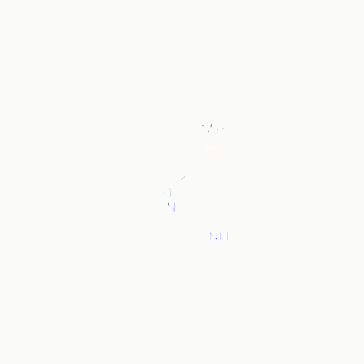 COC(=O)C(F)C[C@@H]1CCCN1C1CCNCC1C